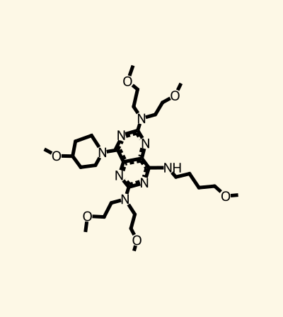 COCCCCNc1nc(N(CCOC)CCOC)nc2c(N3CCC(OC)CC3)nc(N(CCOC)CCOC)nc12